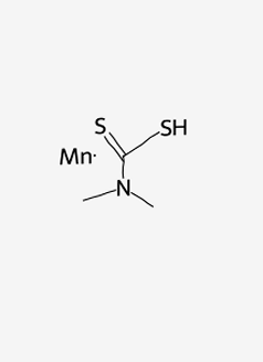 CN(C)C(=S)S.[Mn]